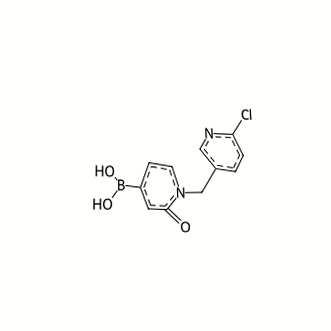 O=c1cc(B(O)O)ccn1Cc1ccc(Cl)nc1